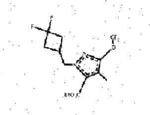 CCOC(=O)c1c(C)c(OC(F)(F)F)nn1CC1CC(F)(F)C1